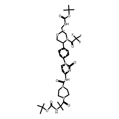 CC(C)(C)OC(=O)NC[C@H]1CN(C(=O)C(F)(F)F)C(c2ccc(-n3ccc(NC(=O)N4CCN(C(=O)C(C)(C)NC(=O)OC(C)(C)C)CC4)nc3=O)cc2)CO1